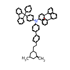 C=C1CC(C)CC(CCc2ccc(-c3ccc(N(c4ccc(-c5cccc6cccc(-c7ccccc7)c56)cc4)c4ccc(C5(c6ccccc6)c6ccccc6-c6ccccc65)cc4)cc3)cc2)C1